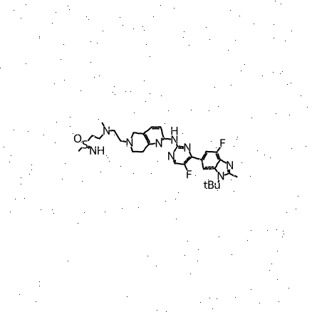 Cc1nc2c(F)cc(-c3nc(Nc4ccc5c(n4)CCN(CCN(C)CCS(C)(=N)=O)C5)ncc3F)cc2n1C(C)(C)C